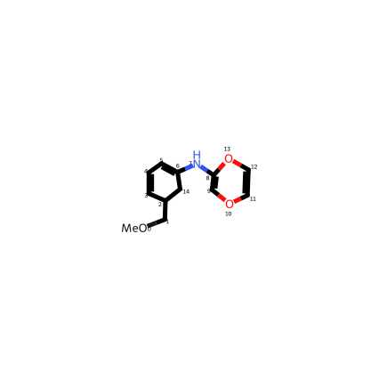 COCC1C=CC=C(NC2=COC=CO2)C1